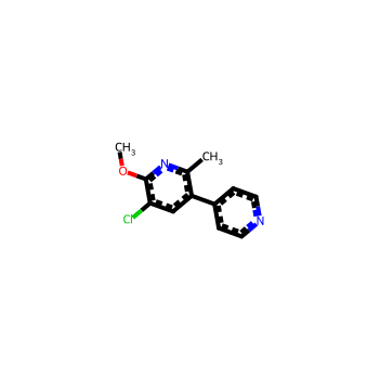 COc1nc(C)c(-c2ccncc2)cc1Cl